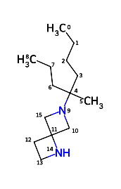 CCCCC(C)(CCC)N1CC2(CCN2)C1